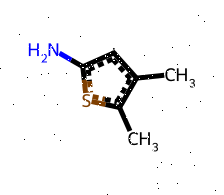 Cc1[c]c(N)sc1C